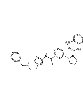 Nc1ccccc1NC(=O)N1CCCC1c1cccc(C(=O)Nc2nc3c(s2)CN(Cc2ccccc2)CC3)c1